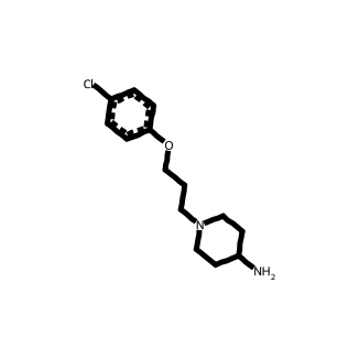 NC1CCN(CCCOc2ccc(Cl)cc2)CC1